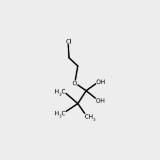 CC(C)(C)C(O)(O)OCCCl